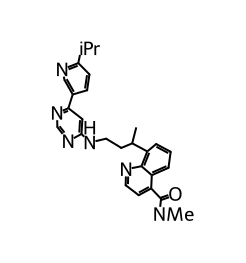 CNC(=O)c1ccnc2c(C(C)CCNc3cc(-c4ccc(C(C)C)nc4)ncn3)cccc12